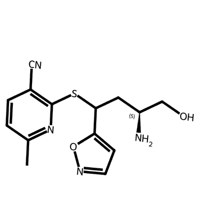 Cc1ccc(C#N)c(SC(C[C@H](N)CO)c2ccno2)n1